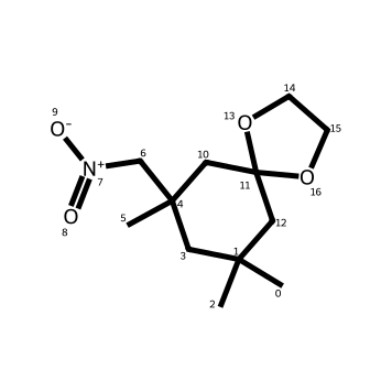 CC1(C)CC(C)(C[N+](=O)[O-])CC2(C1)OCCO2